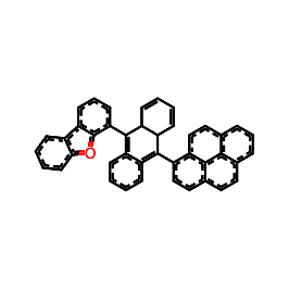 C1=CC2C(c3ccc4ccc5cccc6ccc3c4c56)=c3ccccc3=C(c3cccc4c3oc3ccccc34)C2C=C1